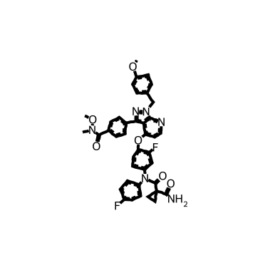 COc1ccc(Cn2nc(-c3ccc(C(=O)N(C)OC)cc3)c3c(Oc4ccc(N(C(=O)C5(C(N)=O)CC5)c5ccc(F)cc5)cc4F)ccnc32)cc1